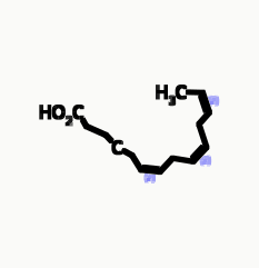 C/C=C\C/C=C\C/C=C\CCCCC(=O)O